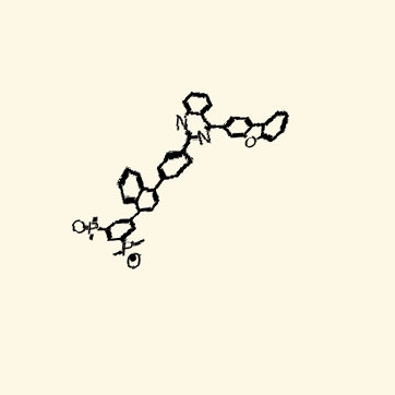 CP(C)(=O)c1cc(-c2ccc(-c3ccc(-c4nc(-c5ccc6c(c5)oc5ccccc56)c5ccccc5n4)cc3)c3ccccc23)cc(P(C)(C)=O)c1